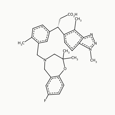 Cc1ccc([C@H](CC(=O)O)c2ccc3c(nnn3C)c2C)cc1CN1Cc2cc(F)ccc2OC(C)(C)C1